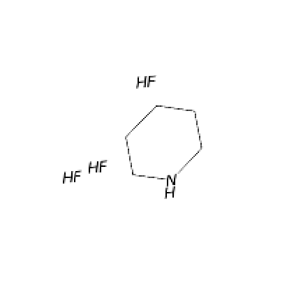 C1CCNCC1.F.F.F